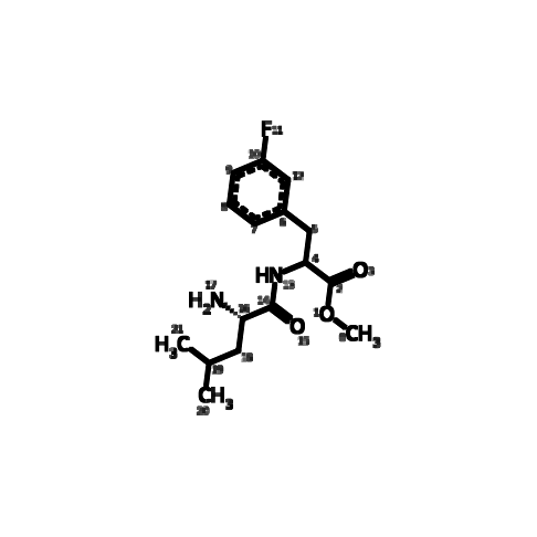 COC(=O)C(Cc1cccc(F)c1)NC(=O)[C@@H](N)CC(C)C